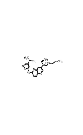 CCCN/C=C(\C=N)c1cnc2ccc(Nc3cc(C(C)C)cnn3)nc2c1